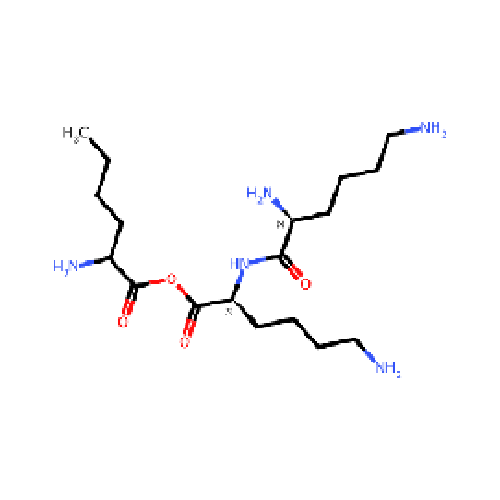 CCCCC(N)C(=O)OC(=O)[C@H](CCCCN)NC(=O)[C@@H](N)CCCCN